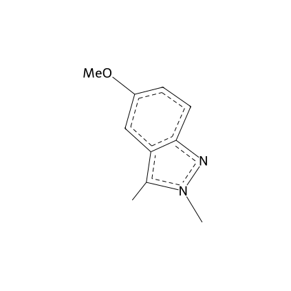 COc1ccc2nn(C)c(C)c2c1